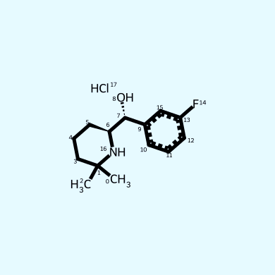 CC1(C)CCC[C@@H]([C@H](O)c2cccc(F)c2)N1.Cl